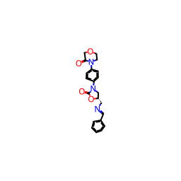 O=C1COCCN1c1ccc(N2C[C@H](C/N=C/c3ccccc3)OC2=O)cc1